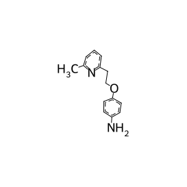 Cc1cccc(CCOc2ccc(N)cc2)n1